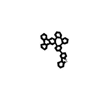 c1ccc2c(c1)-c1ccccc1-c1cc3c4ccccc4c4ccccc4c3cc1-c1ccc(-c3ccc4sc5ccccc5c4c3)cc1-2